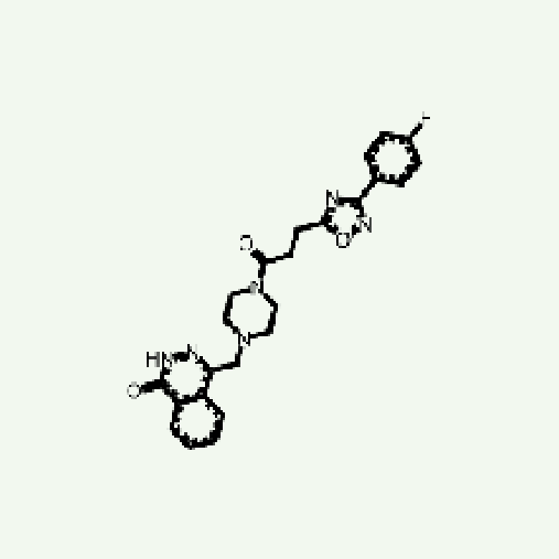 O=C(CCc1nc(-c2ccc(F)cc2)no1)N1CCN(Cc2n[nH]c(=O)c3ccccc23)CC1